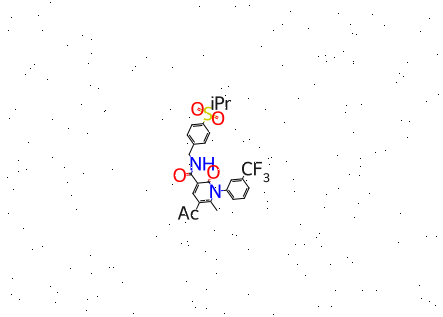 CC(=O)c1cc(C(=O)NCc2ccc(S(=O)(=O)C(C)C)cc2)c(=O)n(-c2cccc(C(F)(F)F)c2)c1C